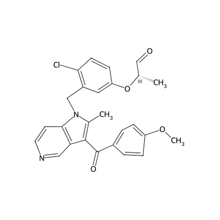 COc1ccc(C(=O)c2c(C)n(Cc3cc(O[C@@H](C)C=O)ccc3Cl)c3ccncc23)cc1